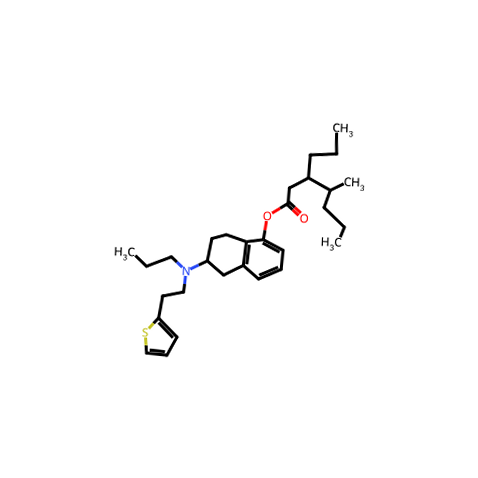 CCCC(C)C(CCC)CC(=O)Oc1cccc2c1CCC(N(CCC)CCc1cccs1)C2